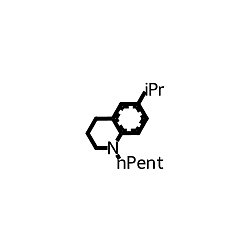 CCCCCN1CCCc2cc(C(C)C)ccc21